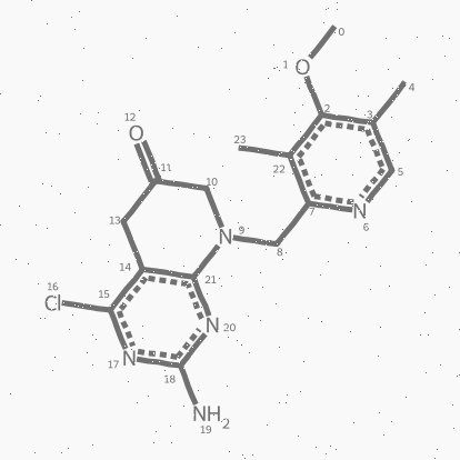 COc1c(C)cnc(CN2CC(=O)Cc3c(Cl)nc(N)nc32)c1C